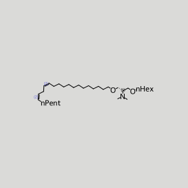 CCCCC/C=C\C/C=C\CCCCCCCCCCCCOC[C@H](COCCCCCC)N(C)C